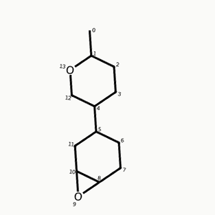 CC1CCC(C2CCC3OC3C2)CO1